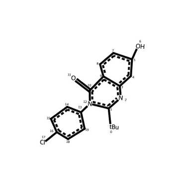 CC(C)(C)c1nc2cc(O)ccc2c(=O)n1-c1ccc(Cl)cc1